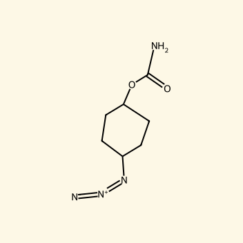 [N-]=[N+]=NC1CCC(OC(N)=O)CC1